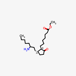 CCCCCC(N)CC[C@H]1CCC(=O)[C@@H]1CCCCCCC(=O)OCC